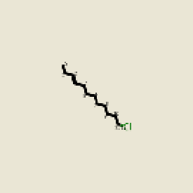 CC/C=C/CCCCCCCCCl